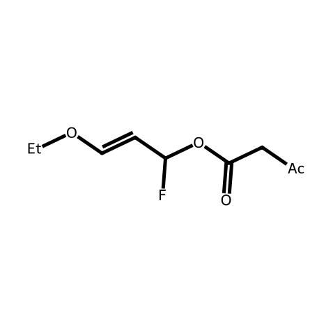 CCOC=CC(F)OC(=O)CC(C)=O